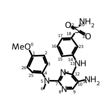 COc1ccc(N(C)c2ncc(N)c(Nc3cccc(S(N)(=O)=O)c3)n2)cc1